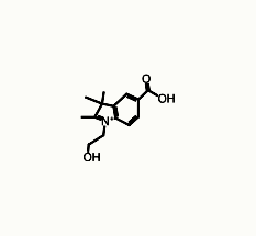 CC1=[N+](CCO)c2ccc(C(=O)O)cc2C1(C)C